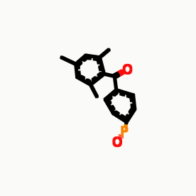 Cc1cc(C)c(C(=O)c2ccc(P=O)cc2)c(C)c1